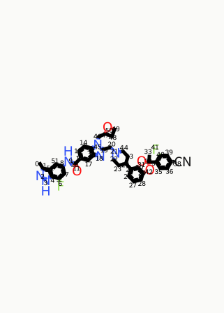 Cc1n[nH]c2c(F)cc(NC(=O)c3ccc4c(c3)nc(CN3CCC(c5cccc6c5OC(C)(c5ccc(C#N)cc5F)O6)CC3)n4CC3CCO3)cc12